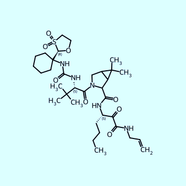 C=CCNC(=O)C(=O)[C@H](CCCC)NC(=O)C1C2C(CN1C(=O)[C@@H](NC(=O)NC1([C@@H]3OCCS3(=O)=O)CCCCC1)C(C)(C)C)C2(C)C